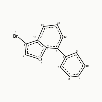 Brc1coc2c(-c3ccccc3)cccc12